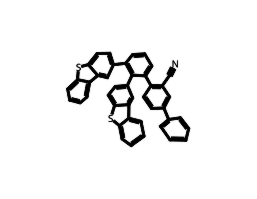 N#Cc1cc(-c2ccccc2)ccc1-c1cccc(-c2ccc3sc4ccccc4c3c2)c1-c1ccc2sc3ccccc3c2c1